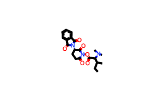 CCC(C)C(C(=O)ON1C(=O)CC[C@H](N2C(=O)c3ccccc3C2=O)C1=O)N(C)C